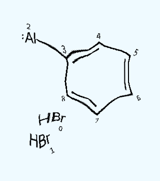 Br.Br.[Al][c]1ccccc1